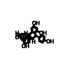 Oc1ccc([C@@H]2c3c(O)cc(O)cc3[C@@H]3c4c(O)cc(O)cc4[C@H]2[C@H]3c2ccc(O)cc2)cc1